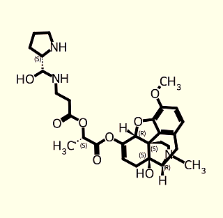 COc1ccc2c3c1O[C@H]1C(OC(=O)[C@H](C)OC(=O)CCNC(O)[C@@H]4CCCN4)=CC[C@@]4(O)[C@@H](C2)N(C)CC[C@]314